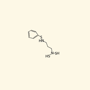 SN(S)CCCNSc1ccccc1